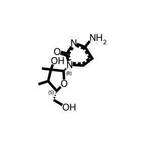 CC1[C@@H](CO)O[C@@H](n2ccc(N)nc2=O)C1(C)O